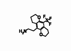 NCCc1c2c(c(S(F)(F)F)c3c1OCCC3)OCCC2